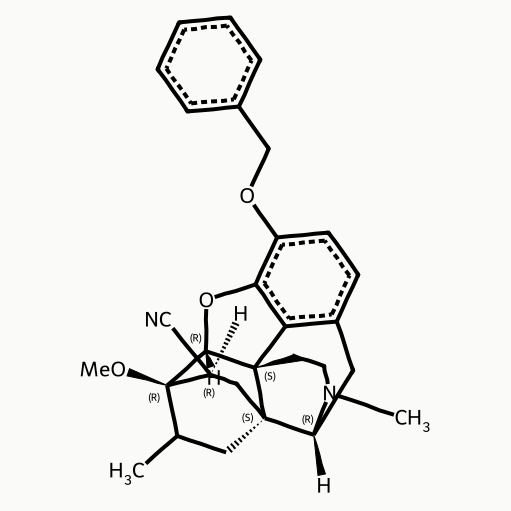 CO[C@]12C(C)C[C@@]3(C[C@@H]1C#N)[C@H]1Cc4ccc(OCc5ccccc5)c5c4[C@@]3(CCN1C)[C@H]2O5